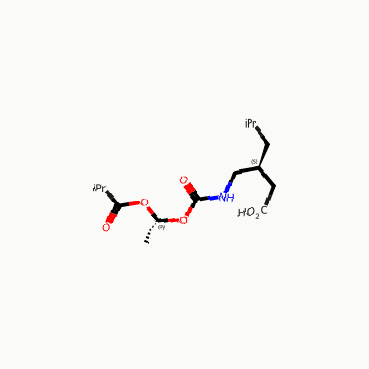 CC(C)C[C@H](CNC(=O)O[C@H](C)OC(=O)C(C)C)CC(=O)O